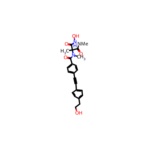 CNC(=O)C(C)(C(=O)NO)N(C)C(=O)c1ccc(C#Cc2ccc(CCO)cc2)cc1